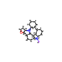 In1c2cccc3c4ccccc4n4c5ccoc5c5ccc1c(c32)c54